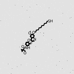 COc1cc2c(Oc3ccc(NC(=O)C4(C=O)CC4)cc3F)ccnc2cc1OCCCCCCCCCCS